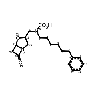 O=C(O)N(CCCCCCc1ccccc1)CC1CN2C(=O)CC2O1